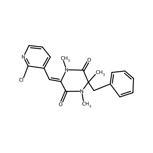 CN1C(=O)C(C)(Cc2ccccc2)N(C)C(=O)C1=Cc1cccnc1Cl